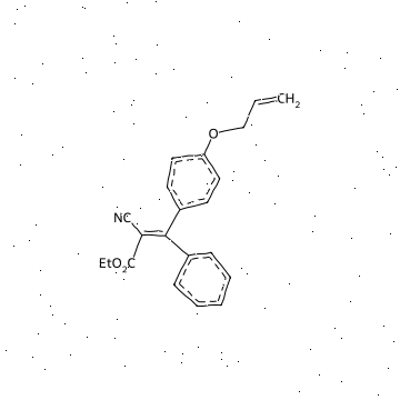 C=CCOc1ccc(/C(=C(\C#N)C(=O)OCC)c2ccccc2)cc1